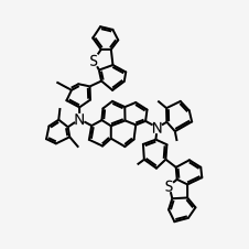 Cc1cc(-c2cccc3c2sc2ccccc23)cc(N(c2c(C)cccc2C)c2ccc3ccc4c(N(c5cc(C)cc(-c6cccc7c6sc6ccccc67)c5)c5c(C)cccc5C)ccc5ccc2c3c54)c1